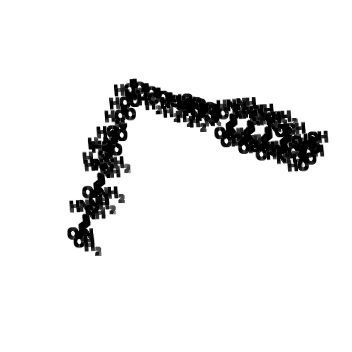 CC(=O)O.CC(=O)O.CC(=O)O.CC(=O)O.CC(=O)O.CC(N)=O.CN(C)C.CNC.C[C@H](N)C(=O)O.C[C@H](N)C(=O)O.C[C@H](N)C(=O)O.C[C@H](N)C(=O)O.C[C@H](N)C(=O)O.N=C(N)NCCC[C@H](N)C(=O)O.N=C(N)NCCC[C@H](N)C(=O)O.N=C(N)NCCC[C@H](N)C(=O)O.N=C(N)NCCC[C@H](N)C(=O)O.N=C(N)NCCC[C@H](N)C(=O)O.NC(=O)CC[C@H](N)C(=O)O.O=C(O)CC(O)(CC(=O)O)C(=O)O